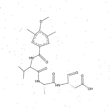 COc1c(C)cc(C(=O)NC(C(=O)N[C@@H](C)C(=O)N[C@H](C=O)CC(=O)O)C(C)C)cc1C